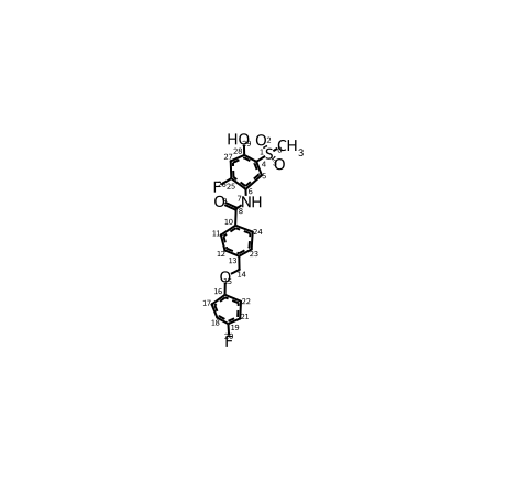 CS(=O)(=O)c1cc(NC(=O)c2ccc(COc3ccc(F)cc3)cc2)c(F)cc1O